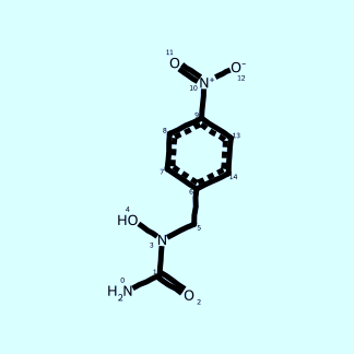 NC(=O)N(O)Cc1ccc([N+](=O)[O-])cc1